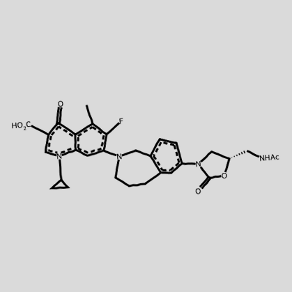 CC(=O)NC[C@H]1CN(c2ccc3c(c2)CCCN(c2cc4c(c(C)c2F)c(=O)c(C(=O)O)cn4C2CC2)C3)C(=O)O1